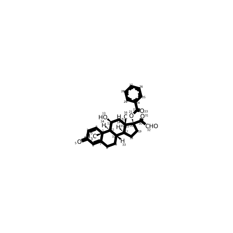 C[C@]12C=CC(=O)C=C1CC[C@@H]1[C@@H]2[C@@H](O)C[C@@]2(C)[C@H]1CC[C@]2(OC(=O)c1ccccc1)C(=O)C=O